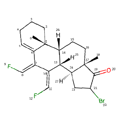 C[C@]12CCCC=C1C(=CF)C(=CF)[C@@H]1[C@H]2CC[C@]2(C)C(=O)C(Br)C[C@@H]12